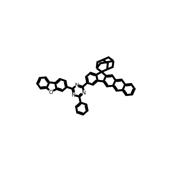 c1ccc(-c2nc(-c3ccc4c(c3)-c3cc5cc6ccccc6cc5cc3C43C4CC5CC(C4)CC3C5)nc(-c3ccc4c(c3)oc3ccccc34)n2)cc1